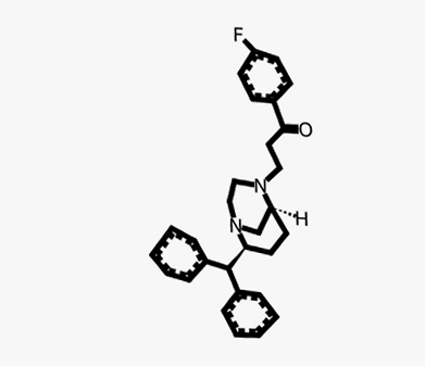 O=C(CCN1CCN2C[C@@H]1CC[C@H]2C(c1ccccc1)c1ccccc1)c1ccc(F)cc1